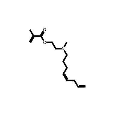 C=CC/C=C\CCCN(C)CCOC(=O)C(=C)C